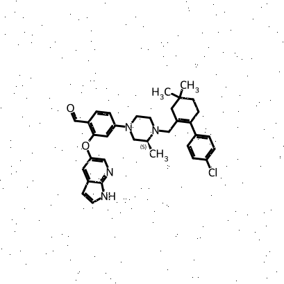 C[C@H]1CN(c2ccc(C=O)c(Oc3cnc4[nH]ccc4c3)c2)CCN1CC1=C(c2ccc(Cl)cc2)CCC(C)(C)C1